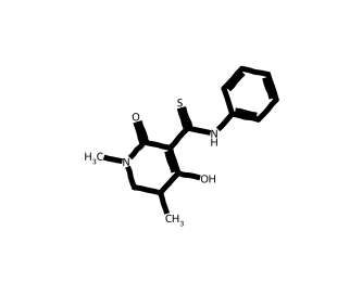 CC1CN(C)C(=O)C(C(=S)Nc2ccccc2)=C1O